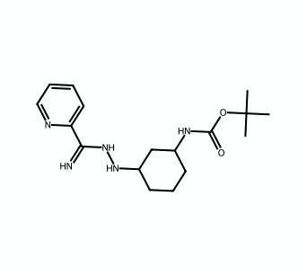 CC(C)(C)OC(=O)NC1CCCC(NNC(=N)c2ccccn2)C1